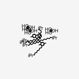 Cc1cc(CCCCCCCC(C)C)c(C)c(C(CCCCCCCC(C)C)(CCCCCCCC(C)C)C(CCCCCCCC(C)C)(CCCCCCCC(C)C)C(CCCCCCCC(C)C)(c2cc(C)ccc2C)c2cc(C)ccc2C)c1.OP(O)O.OP(O)O.OP(O)O